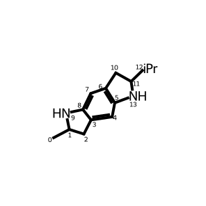 CC1Cc2cc3c(cc2N1)CC(C(C)C)N3